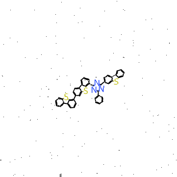 c1ccc(-c2nc(-c3ccc4c(c3)sc3ccccc34)nc(-c3cccc4c3sc3cc(-c5cccc6c5sc5ccccc56)ccc34)n2)cc1